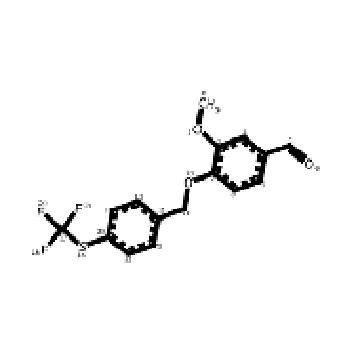 COc1cc(C=O)ccc1OCc1ccc(SC(F)(F)F)cc1